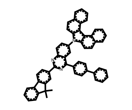 CC1(C)c2ccccc2-c2ccc(-c3nc(-c4ccc(-c5ccccc5)cc4)c4cc(-n5c6ccc7ccccc7c6c6c7ccccc7ccc65)ccc4n3)cc21